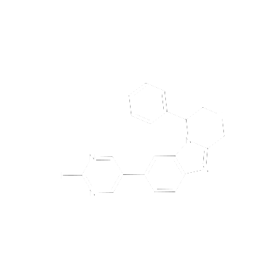 Clc1ncc(-c2ccc3nc4n(c3c2)C(c2ccccc2)COC4)cn1